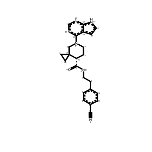 N#Cc1ccc(CCNC(=O)[C@H]2CCN(c3ncnc4[nH]ccc34)CC23CC3)cc1